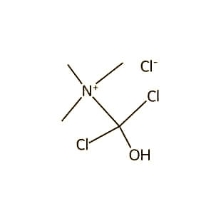 C[N+](C)(C)C(O)(Cl)Cl.[Cl-]